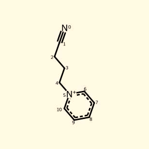 N#CCCC[n+]1ccccc1